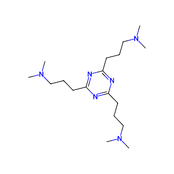 CN(C)CCCc1nc(CCCN(C)C)nc(CCCN(C)C)n1